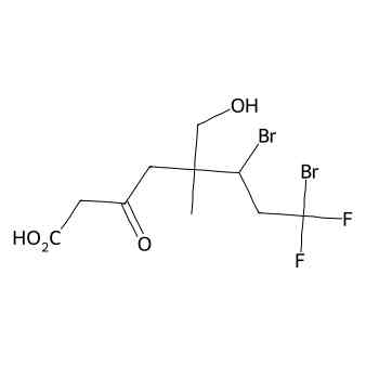 CC(CO)(CC(=O)CC(=O)O)C(Br)CC(F)(F)Br